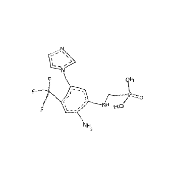 Nc1cc(C(F)(F)F)c(-n2ccnc2)cc1NCP(=O)(O)O